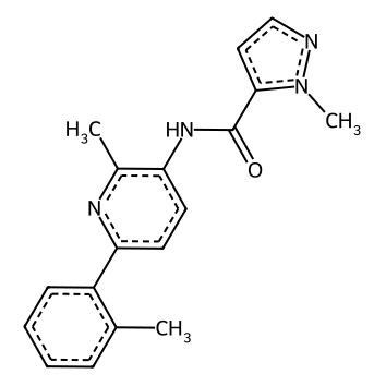 Cc1ccccc1-c1ccc(NC(=O)c2ccnn2C)c(C)n1